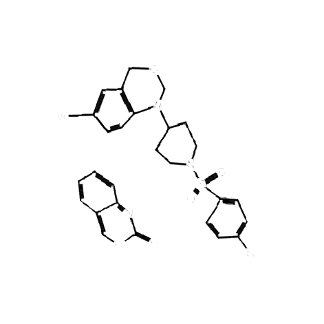 O=S(=O)(c1ccc(Br)cc1)N1CCC(N2COCc3cc(Br)ccc32)CC1.O=c1nc2ccccc2co1